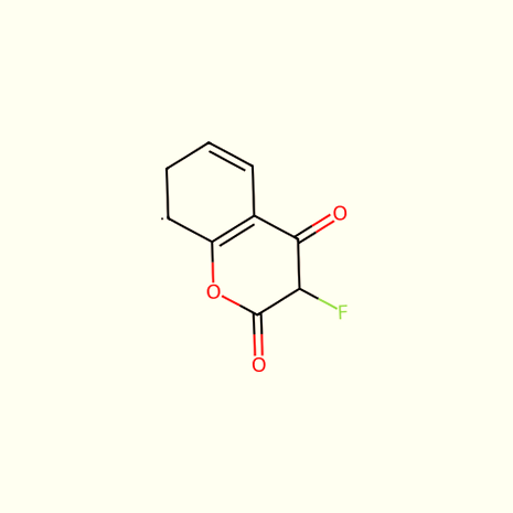 O=C1OC2=C(C=CC[CH]2)C(=O)C1F